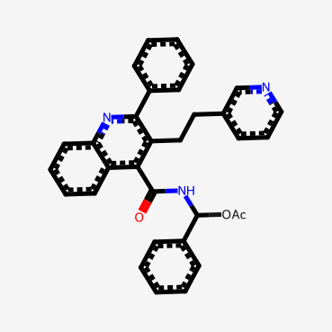 CC(=O)OC(NC(=O)c1c(CCc2cccnc2)c(-c2ccccc2)nc2ccccc12)c1ccccc1